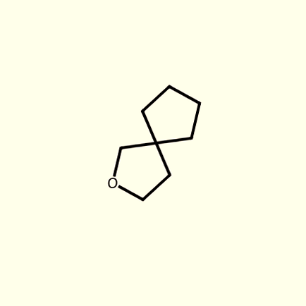 C1CCC2(C1)CCOC2